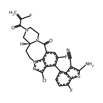 C=C(F)C(=O)N1CCN2C(=O)c3cc(F)c(-c4ccc(F)c5sc(N)c(C#N)c45)c4c(Cl)nn(c34)CC[C@@H]2C1